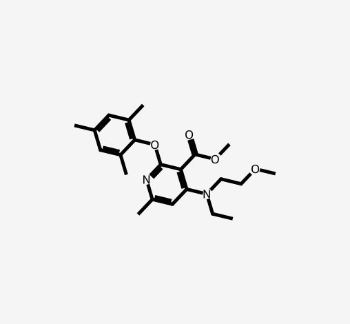 CCN(CCOC)c1cc(C)nc(Oc2c(C)cc(C)cc2C)c1C(=O)OC